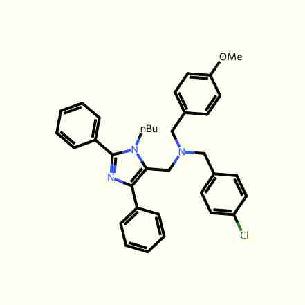 CCCCn1c(-c2ccccc2)nc(-c2ccccc2)c1CN(Cc1ccc(Cl)cc1)Cc1ccc(OC)cc1